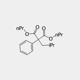 CCCOC(=O)C(CC(C)C)(C(=O)OCCC)c1ccccc1